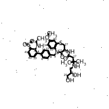 CCNC1C(c2ccc(CN3C(=O)[C@H](NC(=O)CC(C)(C)NC[C@H](O)CO)CSc4cc(OC)ccc43)cc2)=CC=CC1=S(=O)=O